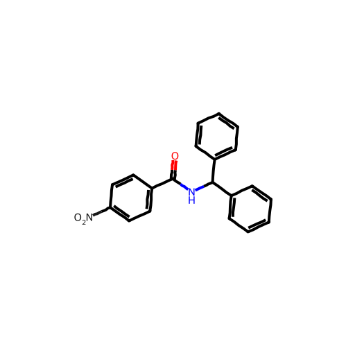 O=C(NC(c1ccccc1)c1ccccc1)c1ccc([N+](=O)[O-])cc1